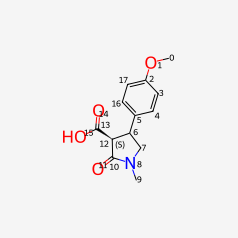 COc1ccc(C2CN(C)C(=O)[C@H]2C(=O)O)cc1